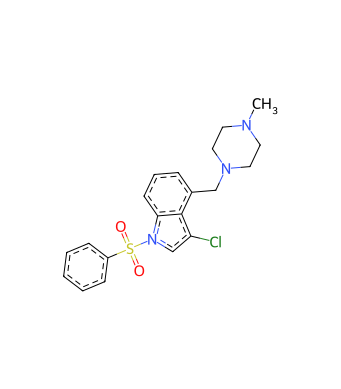 CN1CCN(Cc2cccc3c2c(Cl)cn3S(=O)(=O)c2ccccc2)CC1